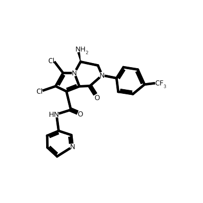 N[C@H]1CN(c2ccc(C(F)(F)F)cc2)C(=O)c2c(C(=O)Nc3cccnc3)c(Cl)c(Cl)n21